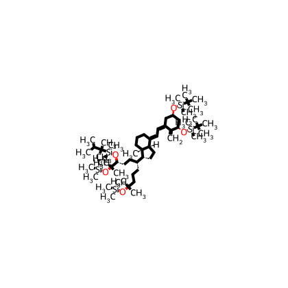 C=C1C(=CC=C2CCC[C@@]3(C)[C@@H]2CC[C@@H]3[C@H](CCCC(C)(C)O[Si](C)(C)C)CC[C@@H](O[Si](C)(C)C(C)(C)C(C)C)C(C)(C)O[Si](C)(C)C)C[C@@H](O[Si](C)(C)C(C)(C)C)C[C@@H]1O[Si](C)(C)C(C)(C)C